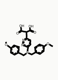 COc1ccc(CN(Cc2ccc(OC)cc2)c2ccc(C(C(=O)O)C(=O)O)nn2)cc1